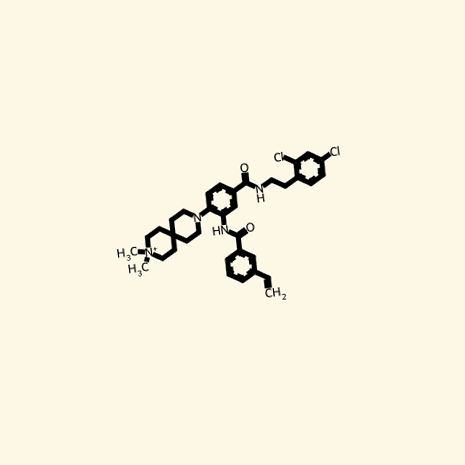 C=Cc1cccc(C(=O)Nc2cc(C(=O)NCCc3ccc(Cl)cc3Cl)ccc2N2CCC3(CC2)CC[N+](C)(C)CC3)c1